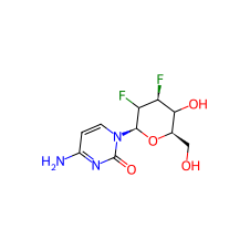 Nc1ccn([C@@H]2O[C@H](CO)C(O)[C@H](F)C2F)c(=O)n1